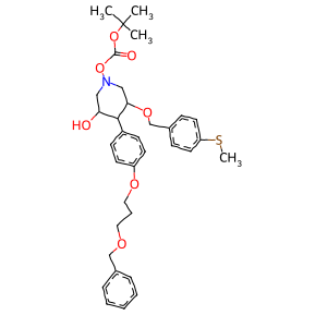 CSc1ccc(COC2CN(OC(=O)OC(C)(C)C)CC(O)C2c2ccc(OCCCOCc3ccccc3)cc2)cc1